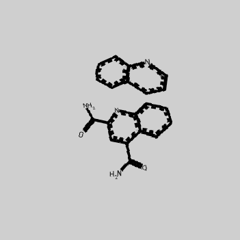 NC(=O)c1cc(C(N)=O)c2ccccc2n1.c1ccc2ncccc2c1